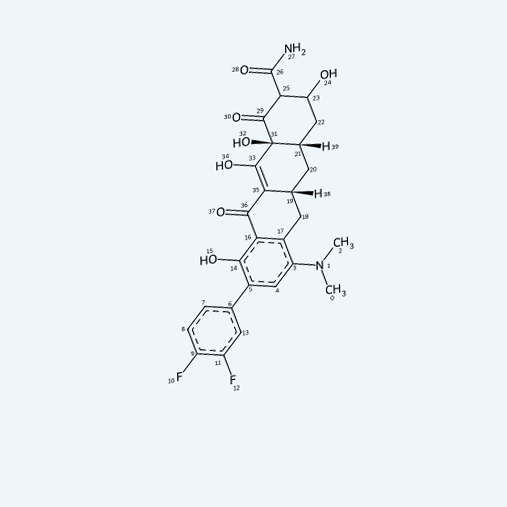 CN(C)c1cc(-c2ccc(F)c(F)c2)c(O)c2c1C[C@H]1C[C@H]3CC(O)C(C(N)=O)C(=O)[C@@]3(O)C(O)=C1C2=O